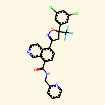 O=C(NCc1ccccn1)c1ccc(C2=NOC(c3cc(Cl)cc(Cl)c3)(C(F)(F)F)C2)c2ccncc12